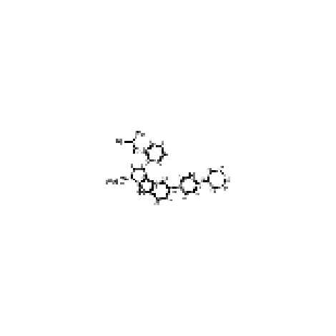 CO[C@@H]1C[C@H](c2ccccc2OC(F)F)c2c1nc1ccc(-c3ccc(C4CCOCC4)nc3)cn21